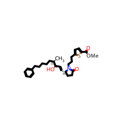 COC(=O)c1ccc(CCCN2C(=O)CC[C@@H]2C=C[C@H](O)[C@@H](C)CCCCCc2ccccc2)s1